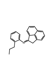 CCCc1ccccc1N=C1Cc2cccc3cccc1c23